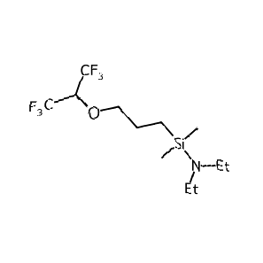 CCN(CC)[Si](C)(C)CCCOC(C(F)(F)F)C(F)(F)F